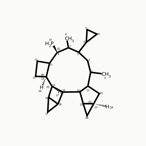 CC1CC(C2CC2)C(C)[C@H](P)C2CC[C@@H]2[C@@H]2C3CC3C2C2C1C[C@H]1CC21